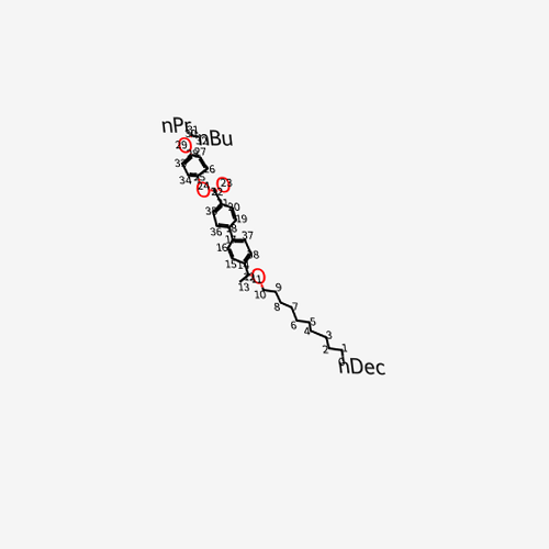 CCCCCCCCCCCCCCCCCCCCOC(C)c1ccc(-c2ccc(C(=O)Oc3ccc(OC(CCC)CCCC)cc3)cc2)cc1